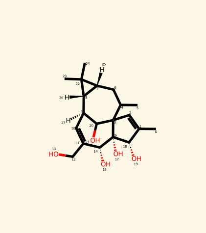 CC1=CC23C(C)C[C@@H]4[C@H]([C@H](C=C(CO)[C@@H](O)[C@]2(O)[C@H]1O)C3O)C4(C)C